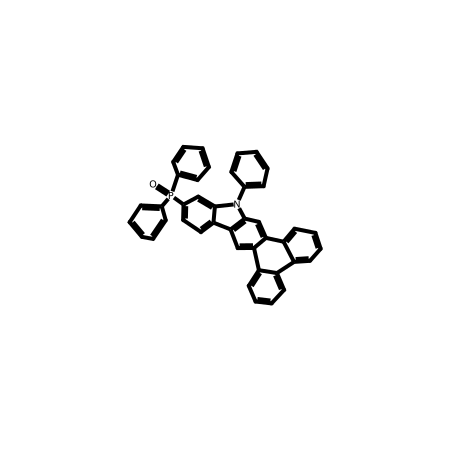 O=P(c1ccccc1)(c1ccccc1)c1ccc2c3cc4c5ccccc5c5ccccc5c4cc3n(-c3ccccc3)c2c1